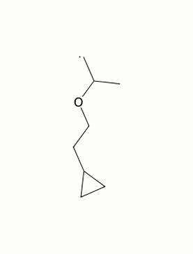 [CH2]C(C)OCCC1CC1